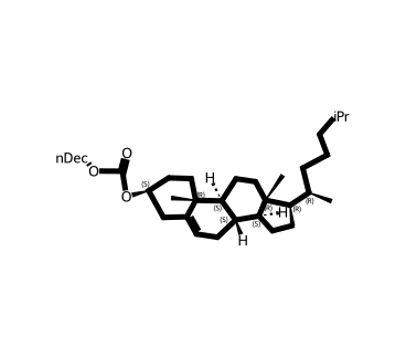 CCCCCCCCCCOC(=O)O[C@H]1CC[C@@]2(C)C(=CC[C@H]3[C@@H]4CC[C@H]([C@H](C)CCCC(C)C)[C@@]4(C)CC[C@@H]32)C1